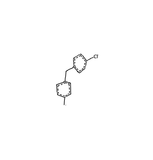 [CH2]c1ccc(Cc2ccc(Cl)cc2)cc1